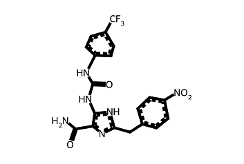 NC(=O)c1nc(Cc2ccc([N+](=O)[O-])cc2)[nH]c1NC(=O)Nc1ccc(C(F)(F)F)cc1